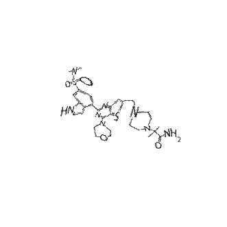 CN(C)S(=O)(=O)c1cc(-c2nc(N3CCOCC3)c3sc(CN4CCN(C(C)(C)C(N)=O)CC4)cc3n2)c2cc[nH]c2c1